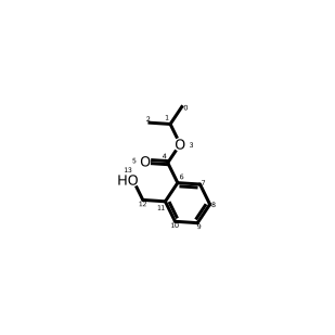 CC(C)OC(=O)c1ccccc1CO